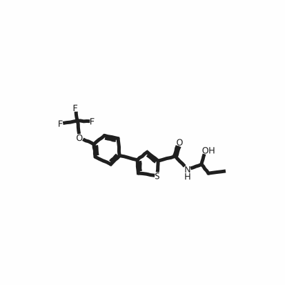 CCC(O)NC(=O)c1cc(-c2ccc(OC(F)(F)F)cc2)cs1